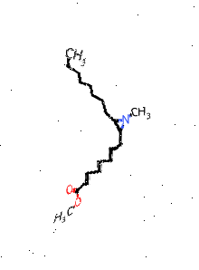 CCCCCCCCC1C(CCCCCCCC(=O)OC)N1C